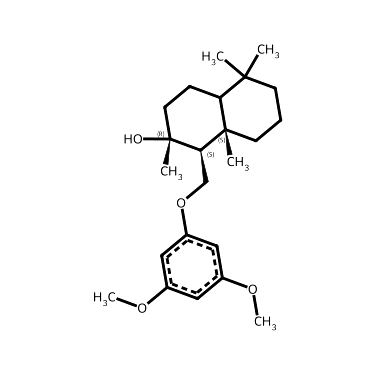 COc1cc(OC)cc(OC[C@@H]2[C@@]3(C)CCCC(C)(C)C3CC[C@@]2(C)O)c1